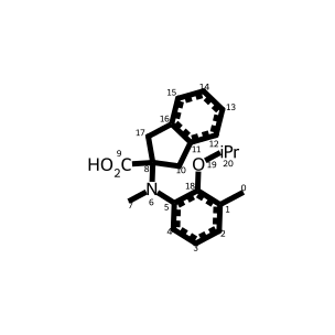 Cc1cccc(N(C)C2(C(=O)O)Cc3ccccc3C2)c1OC(C)C